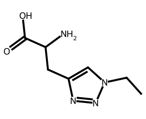 CCn1cc(CC(N)C(=O)O)nn1